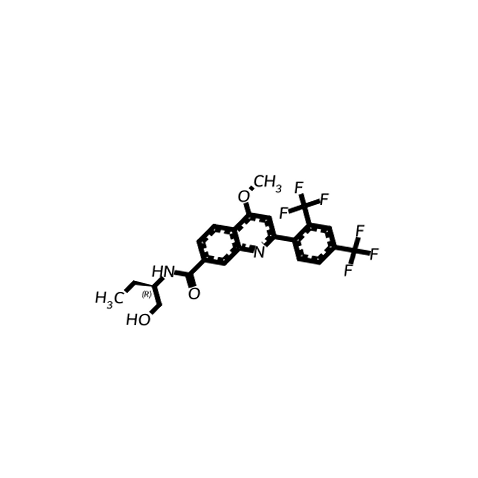 CC[C@H](CO)NC(=O)c1ccc2c(OC)cc(-c3ccc(C(F)(F)F)cc3C(F)(F)F)nc2c1